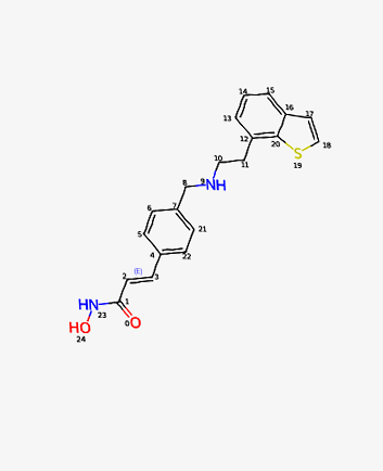 O=C(/C=C/c1ccc(CNCCc2cccc3ccsc23)cc1)NO